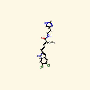 CO/C(=C\C=C\c1cc2cc(Cl)c(Cl)cc2[nH]1)C(=O)NCCc1c[nH]cn1